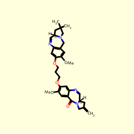 C=C1C[C@H]2C=Nc3cc(OCCCOc4cc5c(cc4OC)CN4CC(C)(C)C[C@H]4C=N5)c(OC)cc3C(=O)N2C1